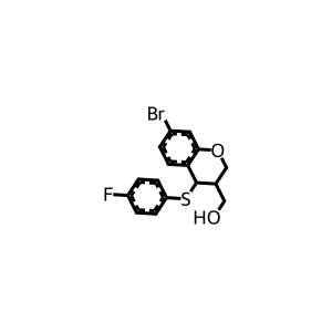 OCC1COc2cc(Br)ccc2C1Sc1ccc(F)cc1